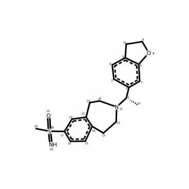 C[C@@H](c1ccc2c(c1)OCC2)N1CCc2ccc(S(C)(=N)=O)cc2CC1